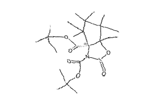 CC(C)(C)OC(=O)N1S(=O)OC2(C)C(C)(C)C(C)(C)C(C)(C)[C@]12C(=O)OC(C)(C)C